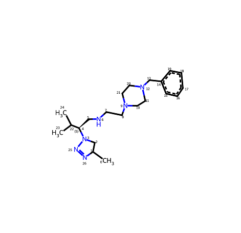 CC1CN([C@H](CNCCN2CCN(Cc3ccccc3)CC2)C(C)C)N=N1